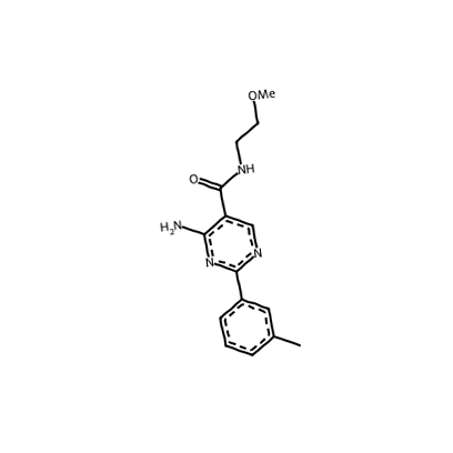 COCCNC(=O)c1cnc(-c2cccc(C)c2)nc1N